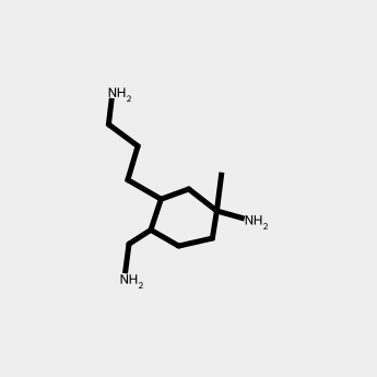 CC1(N)CCC(CN)C(CCCN)C1